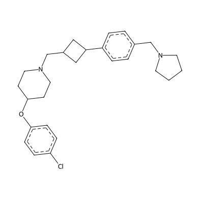 Clc1ccc(OC2CCN(CC3CC(c4ccc(CN5CCCC5)cc4)C3)CC2)cc1